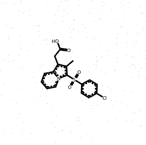 Cc1c(CC(=O)O)c2ccccn2c1S(=O)(=O)c1ccc(Cl)cc1